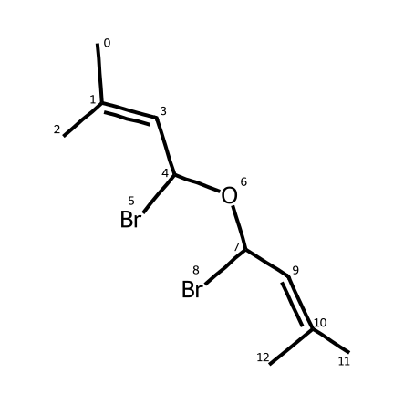 CC(C)=CC(Br)OC(Br)C=C(C)C